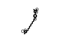 C=C1CC(CCCCCCCCCCOc2ccc(C3CC(=C)C(=O)O3)cc2)OC1=O